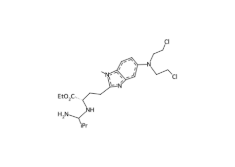 CCOC(=O)[C@H](CCc1nc2cc(N(CCCl)CCCl)ccc2n1C)NC(N)C(C)C